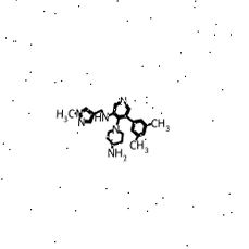 Cc1cc(C)cc(-c2cncc(NCc3cnn(C)c3)c2N2CCC(N)CC2)c1